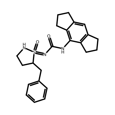 O=C(N=S1(=O)NCCC1Cc1ccccc1)Nc1c2c(cc3c1CCC3)CCC2